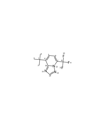 CC(C)(C)c1ccc(C(F)(F)F)n2ncnc12